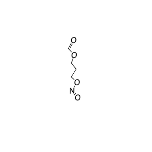 O=COCCCON=O